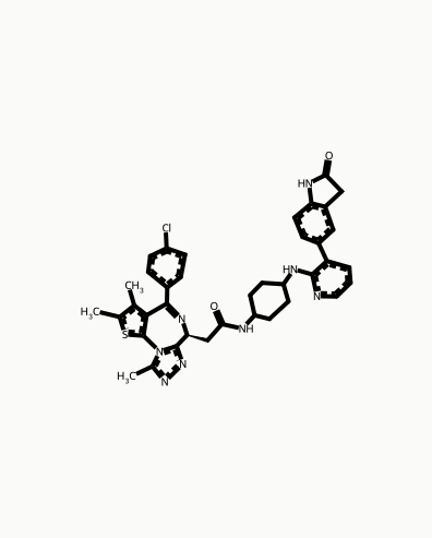 Cc1sc2c(c1C)C(c1ccc(Cl)cc1)=N[C@@H](CC(=O)NC1CCC(Nc3ncccc3-c3ccc4c(c3)CC(=O)N4)CC1)c1nnc(C)n1-2